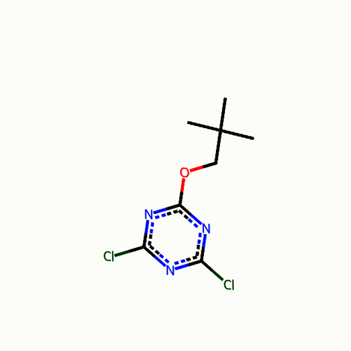 CC(C)(C)COc1nc(Cl)nc(Cl)n1